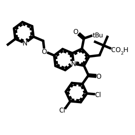 Cc1cccc(COc2ccn3c(C(=O)c4ccc(Cl)cc4Cl)c(CC(C)(C)C(=O)O)c(C(=O)C(C)(C)C)c3c2)n1